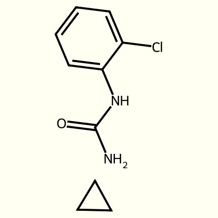 C1CC1.NC(=O)Nc1ccccc1Cl